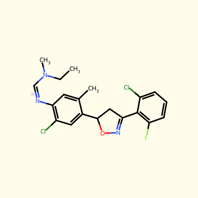 CCN(C)/C=N\c1cc(C)c(C2CC(c3c(F)cccc3Cl)=NO2)cc1Cl